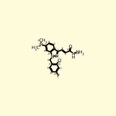 CN(C)c1ccc2c(C=CC(=O)NN)nn(Cc3ccc(F)cc3Cl)c2c1